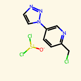 ClCc1ccc(-n2ccnn2)cn1.[O-][S+](Cl)Cl